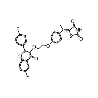 C/C(=C1/SC(=O)NC1=O)c1ccc(OCCOc2c(-c3ccc(F)cc3)oc3ccc(F)cc3c2=O)cc1